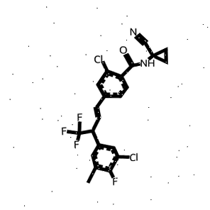 Cc1cc(C(/C=C/c2ccc(C(=O)NC3(C#N)CC3)c(Cl)c2)C(F)(F)F)cc(Cl)c1F